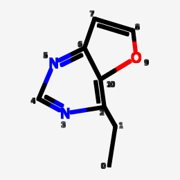 CCc1ncnc2ccoc12